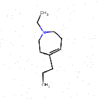 CCCC1=CCCN(CC)CC1